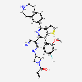 C=CC(=O)N1CC(N/C=C(\C=N)c2nc(-c3ccc4c(c3)CCNCC4)c3ccsc3c2-c2ccc(F)cc2OC)C1